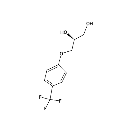 OC[C@H](O)COc1ccc(C(F)(F)F)cc1